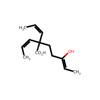 C/C=C\C(/C=C\C)(CC/C(O)=C/C)C(=O)O